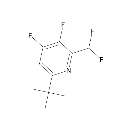 CC(C)(C)c1cc(F)c(F)c(C(F)F)n1